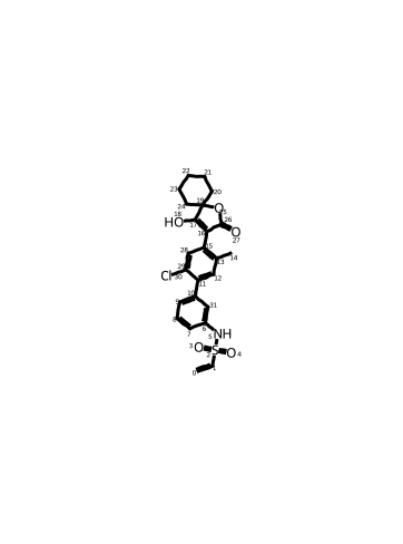 C=CS(=O)(=O)Nc1cccc(-c2cc(C)c(C3=C(O)C4(CCCCC4)OC3=O)cc2Cl)c1